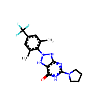 Cc1cc(C(F)(F)F)cc(C)c1N1Nc2nc(N3CCCC3)[nH]c(=O)c2N1